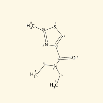 CCN(CC)C(=O)c1csc(C)n1